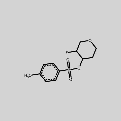 Cc1ccc(S(=O)(=O)OC2CCOCC2F)cc1